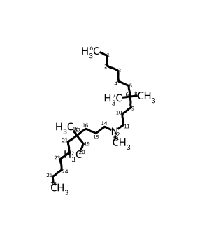 CCCCCCC(C)(C)CCCN(C)CCCC(C)(CC)CCCCCC